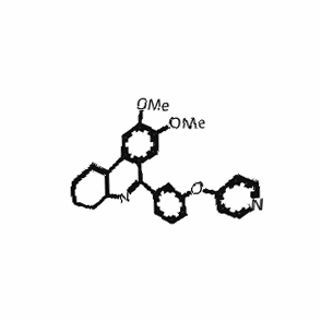 COc1cc2c(cc1OC)C1CCCCC1N=C2c1cccc(Oc2ccncc2)c1